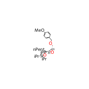 CCCCC[C@H](O[Si](C(C)C)(C(C)C)C(C)C)[C@@H]1O[C@H]1COCc1ccc(OC)cc1